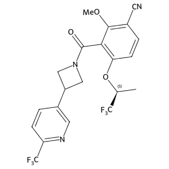 COc1c(C#N)ccc(O[C@@H](C)C(F)(F)F)c1C(=O)N1CC(c2ccc(C(F)(F)F)nc2)C1